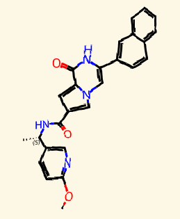 COc1ccc([C@H](C)NC(=O)c2cc3c(=O)[nH]c(-c4ccc5ccccc5c4)cn3c2)cn1